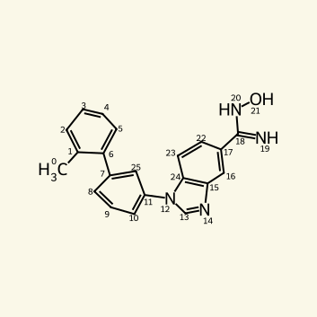 Cc1ccccc1-c1cccc(-n2cnc3cc(C(=N)NO)ccc32)c1